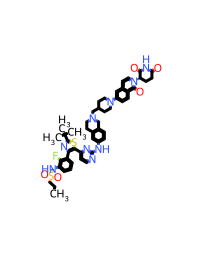 CCCS(=O)(=O)Nc1cccc(-c2nc(C(C)(C)C)sc2-c2ccnc(Nc3ccc4c(c3)CCN(CC3CCN(c5ccc6c(=O)n([C@@H]7CCC(=O)NC7=O)ccc6c5)CC3)C4)n2)c1F